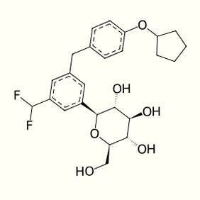 OC[C@H]1O[C@@H](c2cc(Cc3ccc(OC4CCCC4)cc3)cc(C(F)F)c2)[C@H](O)[C@@H](O)[C@@H]1O